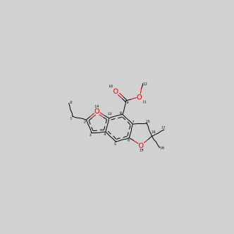 CCc1cc2cc3c(c(C(=O)OC)c2o1)CC(C)(C)O3